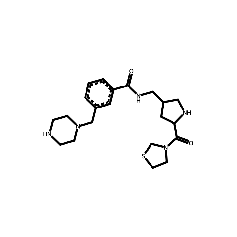 O=C(NCC1CNC(C(=O)N2CCSC2)C1)c1cccc(CN2CCNCC2)c1